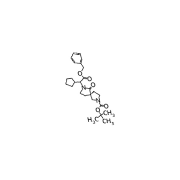 CC(C)(C)OC(=O)N1CC[C@]2(CCN(C(C(=O)OCc3ccccc3)C3CCCC3)C2=O)C1